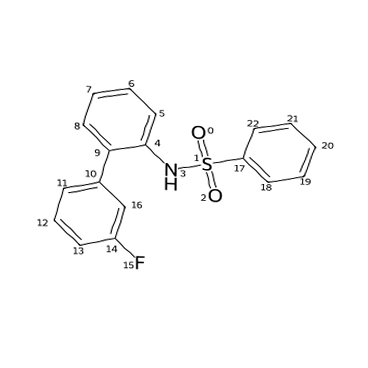 O=S(=O)(Nc1ccccc1-c1cccc(F)c1)c1ccccc1